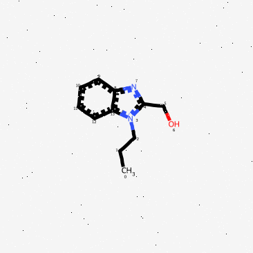 CCCn1c(CO)nc2ccccc21